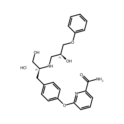 Cl.NC(=O)c1cccc(Oc2ccc(C[C@@H](CO)NC[C@H](O)COc3ccccc3)cc2)n1